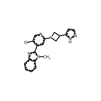 Cn1c(-c2cc(N3CC(c4ccn[nH]4)C3)ncc2Cl)nc2ccccc21